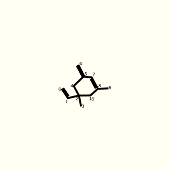 C=CC1(C)CC(=C)C=C(C)C1